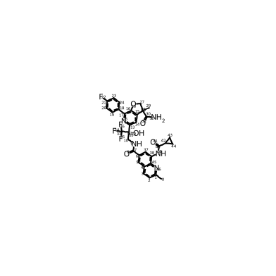 Cc1ccc2cc(C(=O)NC[C@](O)(c3cc4c(c(-c5ccc(F)cc5)n3)OC[C@]4(C)C(N)=O)C(F)(F)F)cc(NC(=O)C3CC3)c2n1